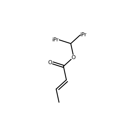 CC=CC(=O)OC(C(C)C)C(C)C